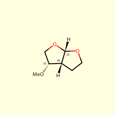 CO[C@@H]1CO[C@@H]2OCC[C@@H]21